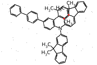 Cc1cccc(C)c1-c1cc(-c2ccc(-c3ccccc3)cc2)ccc1N(c1ccc2c(c1)C(C)(C)c1ccccc1-2)c1ccc2c(c1)C(C)(C)c1ccccc1-2